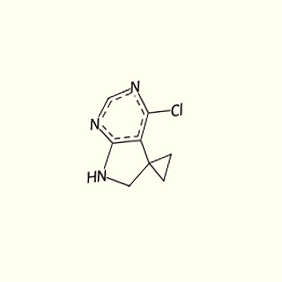 Clc1ncnc2c1C1(CC1)CN2